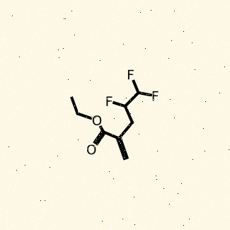 C=C(CC(F)C(F)F)C(=O)OCC